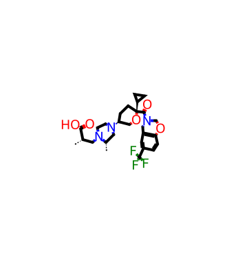 C[C@@H](CN1CCN([C@@H]2CC[C@@](C(=O)N3COc4ccc(C(F)(F)F)cc4C3)(C3CC3)OC2)C[C@@H]1C)C(=O)O